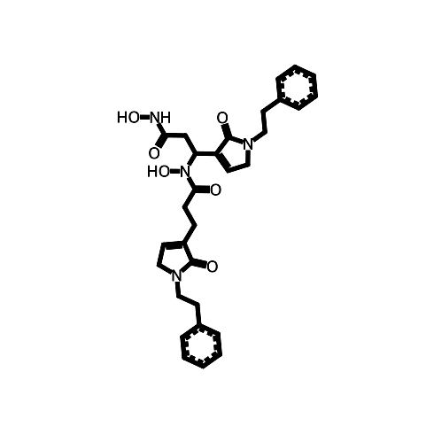 O=C(CC(C1=CCN(CCc2ccccc2)C1=O)N(O)C(=O)CCC1=CCN(CCc2ccccc2)C1=O)NO